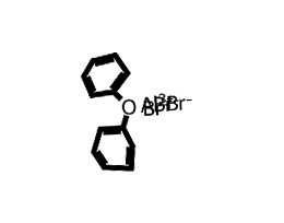 [Al+3].[Br-].[Br-].[Br-].c1ccc(Oc2ccccc2)cc1